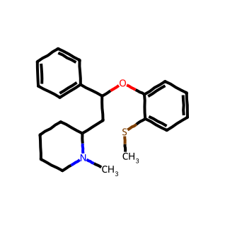 CSc1ccccc1OC(CC1CCCCN1C)c1ccccc1